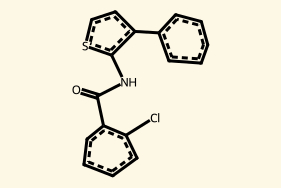 O=C(Nc1sccc1-c1ccccc1)c1ccccc1Cl